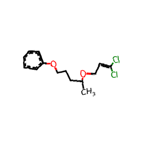 CC(CCCOc1ccccc1)OCC=C(Cl)Cl